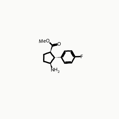 COC(=O)[C@@H]1CC[C@H](N)[C@H]1c1ccc(F)cc1